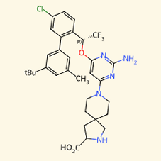 Cc1cc(-c2cc(Cl)ccc2[C@@H](Oc2cc(N3CCC4(CC3)CNC(C(=O)O)C4)nc(N)n2)C(F)(F)F)cc(C(C)(C)C)c1